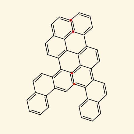 c1ccc(-c2ccc3c(ccc4c5ccccc5ccc34)c2-c2c(-c3cccc4c3ccc3ccccc34)ccc3ccccc23)cc1